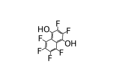 Oc1c(F)c(F)c(O)c2c(F)c(F)c(F)c(F)c12